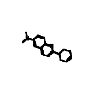 CN(C)c1ccc2nc(C3CC=CCC3)ccc2c1